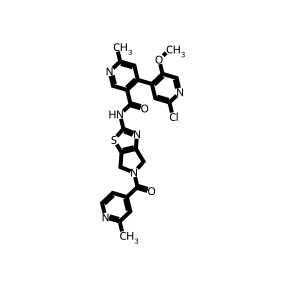 COc1cnc(Cl)cc1-c1cc(C)ncc1C(=O)Nc1nc2c(s1)CN(C(=O)c1ccnc(C)c1)C2